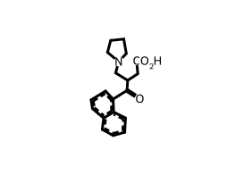 O=C(O)CC(CN1CCCC1)C(=O)c1cccc2ccccc12